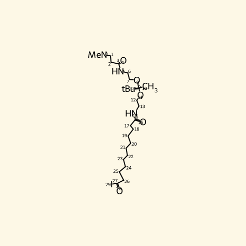 CNCCC(=O)NCCOC(C)(OCCNC(=O)CCCCCCCCCCC(=O)I)C(C)(C)C